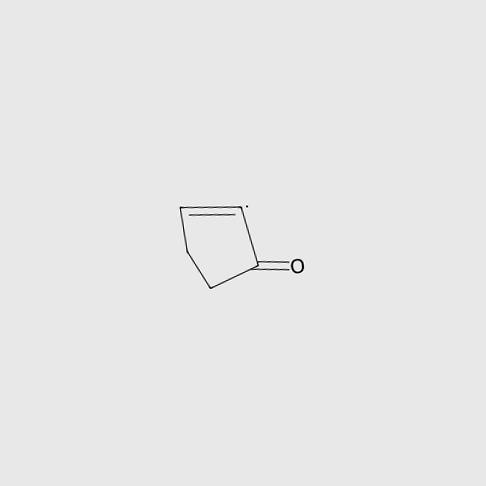 O=C1[C]=CCC1